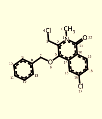 Cn1c(CCl)c(OCc2ccccc2)c2cc(Cl)ccc2c1=O